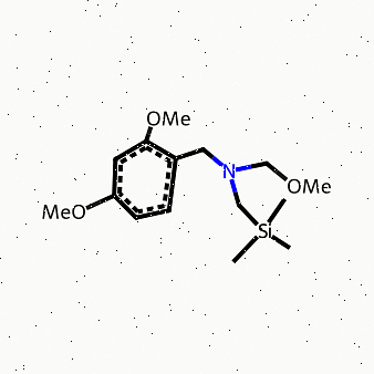 COCN(Cc1ccc(OC)cc1OC)C[Si](C)(C)C